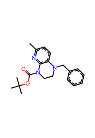 Cc1ccc2c(n1)N(C(=O)OC(C)(C)C)CCN2Cc1ccccc1